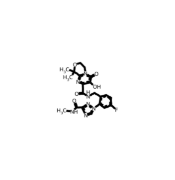 CNC(=O)c1ncn(-c2cc(F)ccc2CNC(=O)c2nc3n(c(=O)c2O)CCOC3(C)C)n1